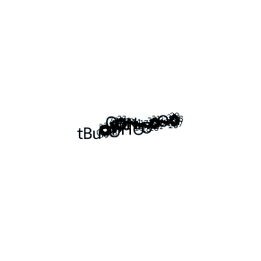 CC(C)(C)c1ccc(S(=O)(=O)N2CCC(CNC[C@H](O)COc3ccc(OCc4ccccc4)cc3)CC2)cc1